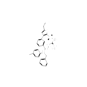 CCCCOC(=O)NS(=O)(=O)c1sc(CC(C)C)cc1-c1cccc(CN(Cc2ccccc2)c2ccc(C)cc2)c1